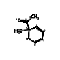 CC(=O)C1(C)C=CC=CC1